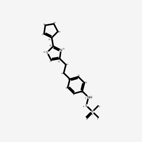 C=P(C)(C)SNc1ccc(CCc2csc(C3=CCCC3)n2)cc1